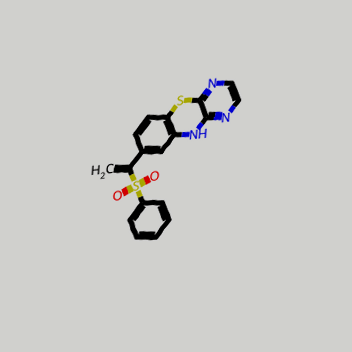 C=C(c1ccc2c(c1)Nc1nccnc1S2)S(=O)(=O)c1ccccc1